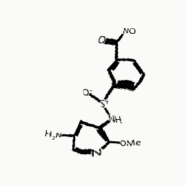 COc1ncc(N)cc1N[S+]([O-])c1cccc(C(=O)N=O)c1